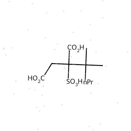 CCCC(C)(C)C(CC(=O)O)(C(=O)O)S(=O)(=O)O